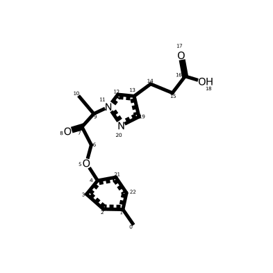 Cc1ccc(OCC(=O)C(C)n2cc(CCC(=O)O)cn2)cc1